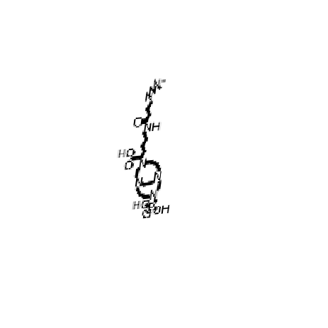 [N-]=[N+]=NCCCC(=O)NCCCCC(C(=O)O)N1CCCN2CCN(CCCN(CP(=O)(O)O)CC2)CC1